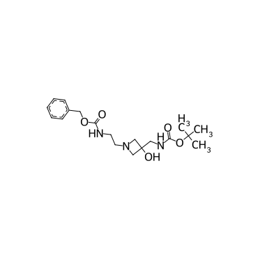 CC(C)(C)OC(=O)NCC1(O)CN(CCNC(=O)OCc2ccccc2)C1